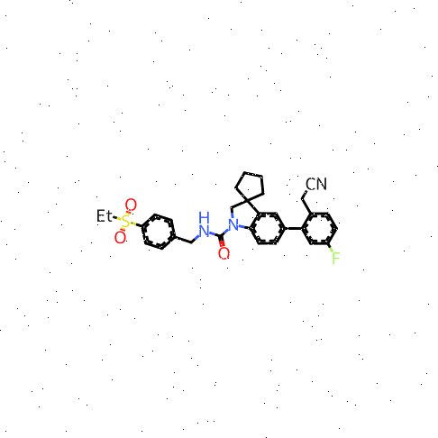 CCS(=O)(=O)c1ccc(CNC(=O)N2CC3(CCCC3)c3cc(-c4cc(F)ccc4CC#N)ccc32)cc1